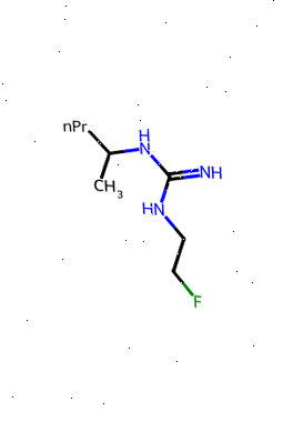 CCCC(C)NC(=N)NCCF